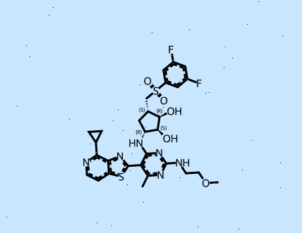 COCCNc1nc(C)c(-c2nc3c(C4CC4)nccc3s2)c(N[C@@H]2C[C@H](CS(=O)(=O)c3cc(F)cc(F)c3)[C@@H](O)[C@H]2O)n1